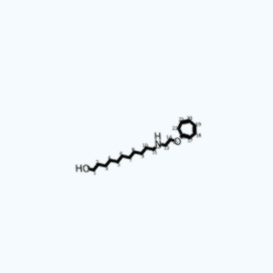 OCCCCCCCCCCCNCCOC1=CC=CC=CC1